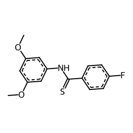 COc1cc(NC(=S)c2ccc(F)cc2)cc(OC)c1